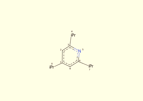 CC(C)c1cc(C(C)C)nc(C(C)C)c1